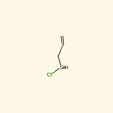 C=CC[SiH]Cl